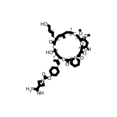 CO[C@H]1C[C@@H](C)C/C(C)=C/[C@@H](C/C=C/CO)C(=O)C[C@H](O)[C@@H](C)[C@@H](/C(C)=C/[C@H]2CC[C@H](OC(=O)N3CC(C(=N)N)C3)CC2)OC(=O)[C@@H]2CCCCN2C(=O)C(=O)[C@]2(O)O[C@H]1[C@@H](OC)C[C@H]2C